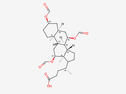 C[C@H](CCC(=O)O)C1CC[C@H]2[C@@H]3[C@H](OC=O)C[C@@H]4C[C@H](OC=O)CC[C@]4(C)[C@H]3C[C@H](OC=O)[C@]12C